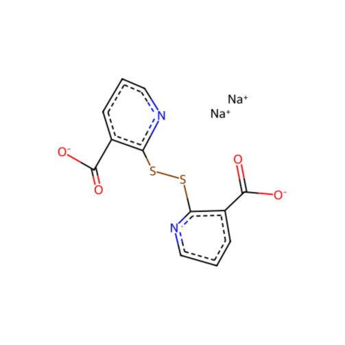 O=C([O-])c1cccnc1SSc1ncccc1C(=O)[O-].[Na+].[Na+]